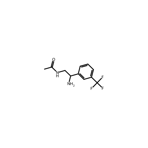 CC(=O)NCC(N)c1cccc(C(F)(F)F)c1